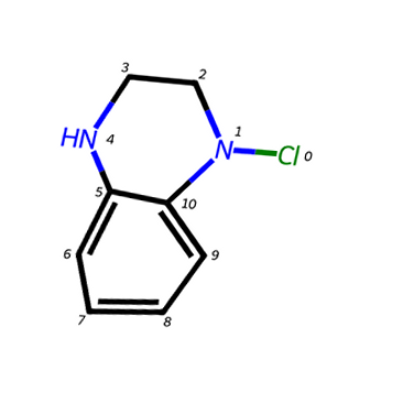 ClN1CCNc2ccccc21